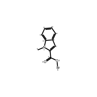 Cn1c(C(=O)OBr)cc2ccccc21